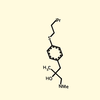 CNCC(C)(O)Cc1ccc(SCCC(C)C)cc1